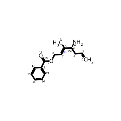 C=CC[C@H](N)/C(C)=C/COC(=O)c1ccccc1